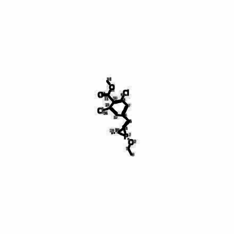 CCOP1/C(=C/c2cc(Cl)c(C(=O)OC)c(Cl)c2)[C@H]1C